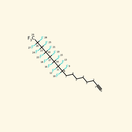 C#CCCCCCCC(F)(F)C(F)(F)C(F)(F)C(F)(F)C(F)(F)C(F)(F)C(F)(F)C(F)(F)F